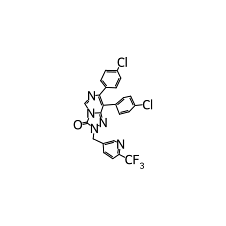 O=c1n(Cc2ccc(C(F)(F)F)nc2)nc2c(-c3ccc(Cl)cc3)c(-c3ccc(Cl)cc3)ncn12